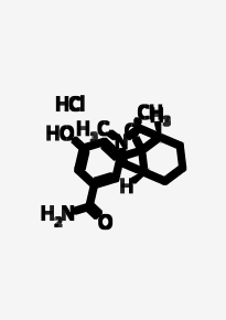 COC1(c2cc(O)cc(C(N)=O)c2)[C@@H]2CCC[C@H]1CN(C)C2.Cl